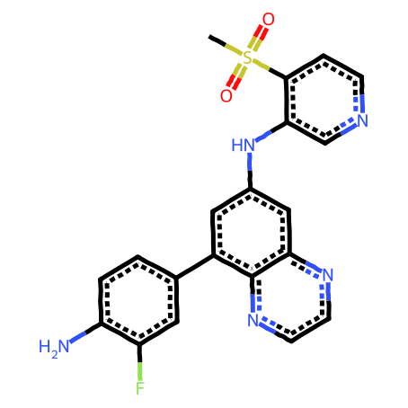 CS(=O)(=O)c1ccncc1Nc1cc(-c2ccc(N)c(F)c2)c2nccnc2c1